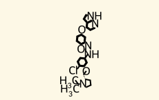 CC(C)N1CCC[C@H]1COc1cc(Nc2nc3cc(Oc4ccnc5[nH]ccc45)ccc3o2)ccc1Cl